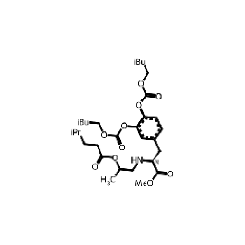 CCC(C)COC(=O)Oc1ccc(C[C@H](NCC(C)OC(=O)CCC(C)C)C(=O)OC)cc1OC(=O)OCC(C)CC